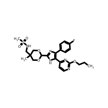 CCCOc1nccc(-c2[nH]c(C3OCC(C)(CNS(C)(=O)=O)CO3)nc2-c2ccc(F)cc2)n1